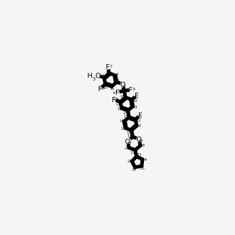 Cc1c(F)cc(OC(F)(F)c2c(F)cc(-c3ccc(C4OCC(C5CCCC5)CO4)cc3F)cc2F)cc1F